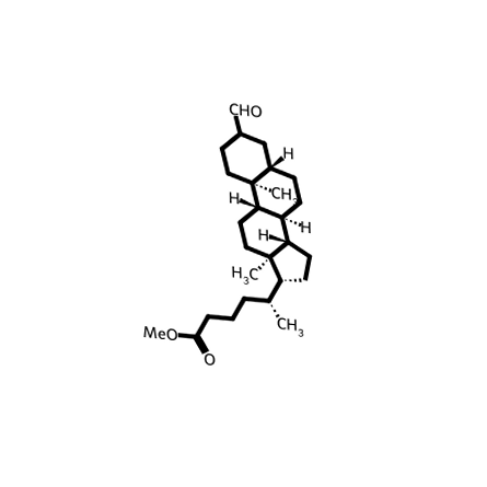 COC(=O)CCC[C@@H](C)[C@H]1CC[C@H]2[C@@H]3CC[C@H]4CC(C=O)CC[C@]4(C)[C@H]3CC[C@]12C